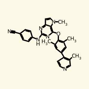 Cc1cnccc1-c1cc(C)c(Oc2nc(Nc3ccc(C#N)cc3)nc3ccn(C)c23)c(C)c1